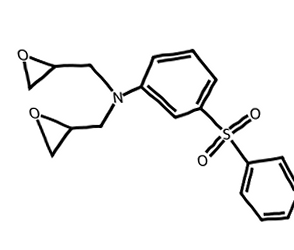 O=S(=O)(c1ccccc1)c1cccc(N(CC2CO2)CC2CO2)c1